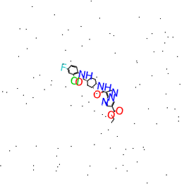 CCOC(=O)c1cnc2c(C(=O)N[C@H]3CC[C@H](C(=O)Nc4ccc(F)cc4Cl)CC3)cnn2c1